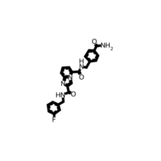 NC(=O)c1ccc(CNC(=O)c2cccc3nc(C(=O)NCc4cccc(F)c4)cn23)cc1